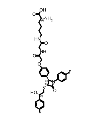 N[C@H](CCCCNC(=O)CNC(=O)COc1ccc([C@@H]2[C@@H](SC[C@@H](O)c3ccc(F)cc3)C(=O)N2c2ccc(F)cc2)cc1)C(=O)O